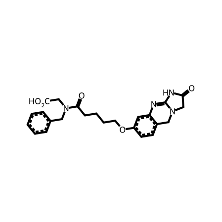 O=C(O)CN(Cc1ccccc1)C(=O)CCCCOc1ccc2c(c1)N=C1NC(=O)CN1C2